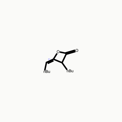 CCCC/C=C1/OC(=O)C1CCCC